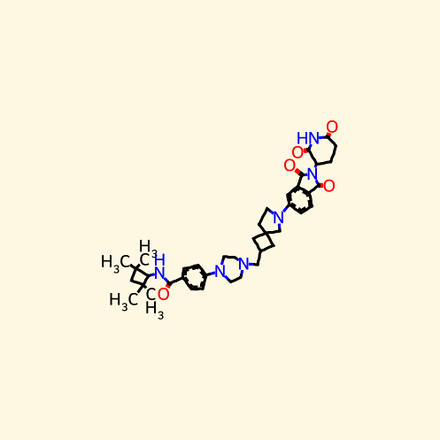 CC1(C)CC(C)(C)C1NC(=O)c1ccc(N2CCN(CC3CC4(CCN(c5ccc6c(c5)C(=O)N(C5CCC(=O)NC5=O)C6=O)C4)C3)CC2)cc1